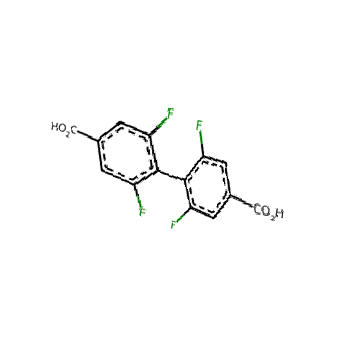 O=C(O)c1cc(F)c(-c2c(F)cc(C(=O)O)cc2F)c(F)c1